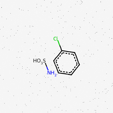 Clc1ccccc1.NS(=O)(=O)O